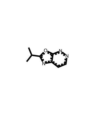 CC(C)c1nc2ccnnc2o1